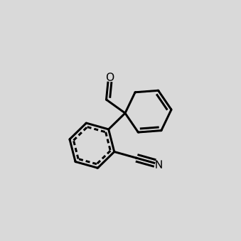 N#Cc1ccccc1C1(C=O)C=CC=CC1